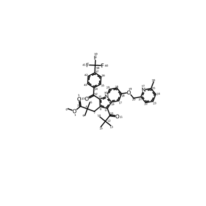 COC(=O)C(C)(C)Cc1c(C(=O)C(C)(C)C)c2cc(OCc3cccc(C)n3)ccn2c1C(=O)c1ccc(C(F)(F)F)cc1